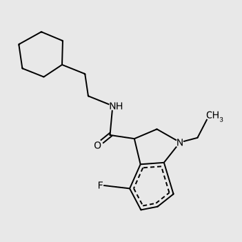 CCN1CC(C(=O)NCCC2CCCCC2)c2c(F)cccc21